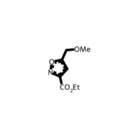 CCOC(=O)c1cc(COC)on1